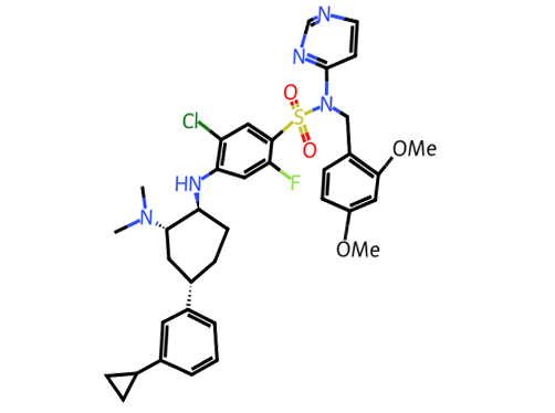 COc1ccc(CN(c2ccncn2)S(=O)(=O)c2cc(Cl)c(N[C@H]3CC[C@H](c4cccc(C5CC5)c4)C[C@@H]3N(C)C)cc2F)c(OC)c1